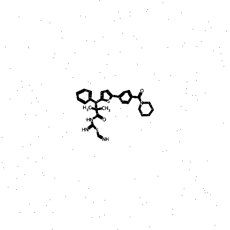 CC(C)(C(=O)NC(=N)SC=N)C(c1ccccc1)c1ccc(-c2ccc(C(=O)N3CCCCC3)cc2)s1